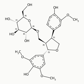 COc1cc([C@H]2CO[C@H](c3cc(OC)c(O)c(OC)c3)[C@H]2CO[C@@H]2O[C@H](CO)[C@@H](O)[C@H](O)[C@H]2O)ccc1O